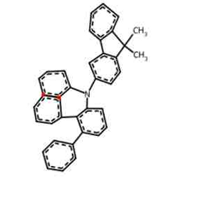 CC1(C)c2ccccc2-c2cc(N(c3ccccc3)c3cccc(-c4ccccc4)c3-c3ccccc3)ccc21